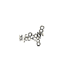 CC(C)(C)c1cccc(-c2cc3c4cc5ccccc5cc4n4c3c(c2)n2c3cc5ccccc5cc3nc24)c1